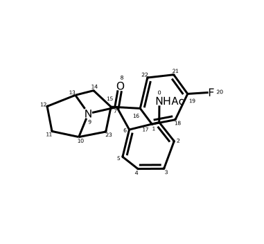 CC(=O)Nc1ccccc1C(=O)N1C2CCC1CC(c1ccc(F)cc1)C2